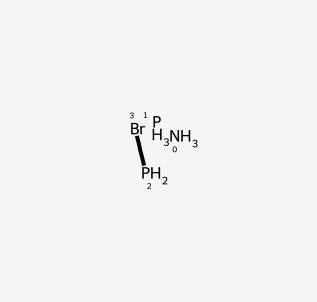 N.P.PBr